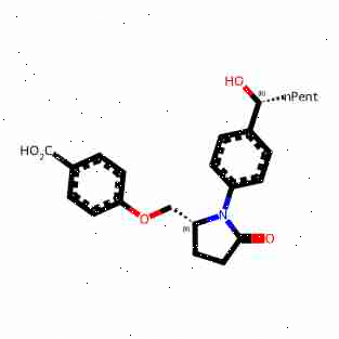 CCCCC[C@@H](O)c1ccc(N2C(=O)CC[C@@H]2COc2ccc(C(=O)O)cc2)cc1